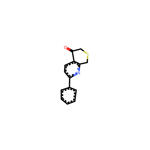 O=C1CSCc2nc(-c3ccccc3)ccc21